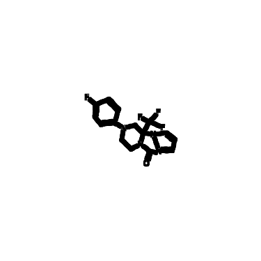 CC(=O)N1CCN(c2ccc(F)cc2)CC1(n1cccn1)C(F)(F)F